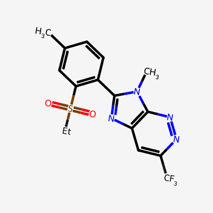 CCS(=O)(=O)c1cc(C)ccc1-c1nc2cc(C(F)(F)F)nnc2n1C